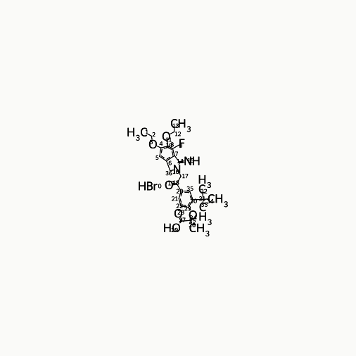 Br.CCOc1cc2c(c(F)c1OCC)C(=N)N(CC(=O)c1ccc(OC(C)C(=O)O)c(C(C)(C)C)c1)C2